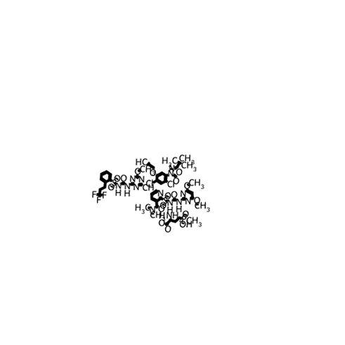 C#CCOc1cc(-n2nc(C(C)(C)C)oc2=O)c(Cl)cc1Cl.COc1cc(OC)nc(NC(=O)NS(=O)(=O)c2ncccc2C(=O)N(C)C)n1.COc1nc(C)nc(NC(=O)NS(=O)(=O)c2ccccc2CCC(F)(F)F)n1.CP(=O)(O)CCC(N)C(=O)O